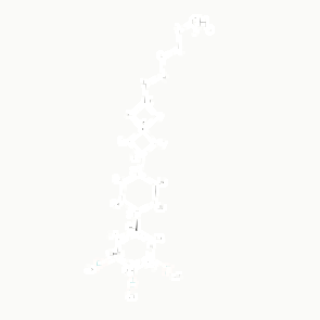 CCCCCCC1CC2(C1)CC([C@H]1CC[C@H](c3cc(F)c(F)c(F)c3)CC1)C2